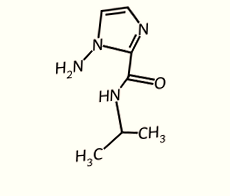 CC(C)NC(=O)c1nccn1N